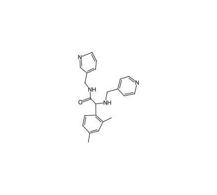 Cc1ccc(C(NCc2ccncc2)C(=O)NCc2cccnc2)c(C)c1